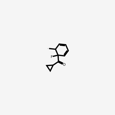 [CH2]C1C=CC=CC1(F)C(=O)C1CC1